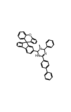 CN1C(c2ccccc2)N=C(c2ccc(-c3ccccc3)cc2)NC1c1ccc2c(c1)C1(c3ccccc3Oc3ccccc31)c1ccccc1-2